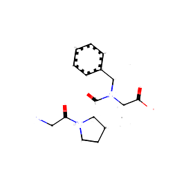 C[C@@H](C(=O)O)N(Cc1ccccc1)C(=O)[C@@H]1CCCN1C(=O)CN.Cl